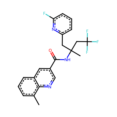 Cc1cccc2cc(C(=O)NC(C)(Cc3cccc(F)n3)CC(F)(F)F)cnc12